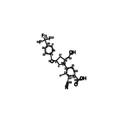 Cc1c(N2C[C@@H](Oc3ccc(C(F)(F)F)cc3)C[C@H]2CO)ccc(C(=O)O)c1C#N